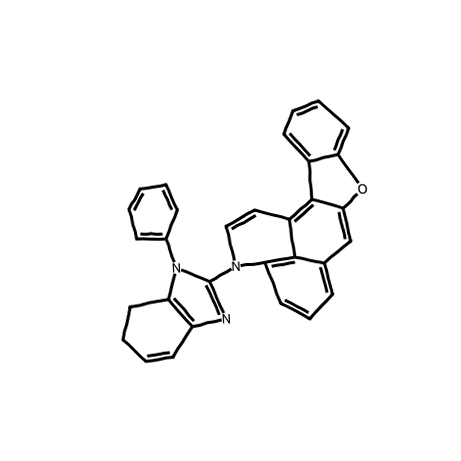 C1=Cc2nc(N3C=Cc4c5c3cccc5cc3oc5ccccc5c43)n(-c3ccccc3)c2CC1